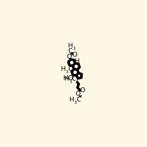 CCOC(=O)CCC[C@H]1CCC2C3CC[C@@H]4C[C@H](OC(C)=O)CC[C@]4(C)C3C[C@H](O)[C@@]21C